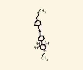 [2H][C@@H]1C[C@@H](CCC)CC([2H])([2H])C1c1ccc(C#Cc2ccc(CCCC)cc2)cc1